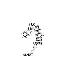 CNCCCCCC(=O)Nc1nc2ccc(-c3cnc(C)c(NC(=O)Cc4ccccc4)c3)cc2s1